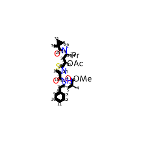 COC(=O)[C@@H](C)C[C@H](Cc1ccccc1)NC(=O)c1csc([C@@H](C[C@H](C(C)C)N(C)C(=O)C2(C)CC2)OC(C)=O)n1